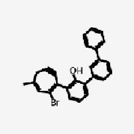 CC1=CC(Br)=C(c2cccc(-c3cccc(-c4ccccc4)c3)c2O)C#CC1